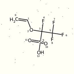 C=COC(F)(C(F)(F)F)S(=O)(=O)O